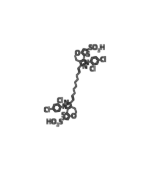 O=S(=O)(O)c1cc2c(s1)-c1c(c(/C=C/CCCCCC/C=C/c3nn(-c4ccc(Cl)cc4Cl)c4c3CCOc3cc(S(=O)(=O)O)sc3-4)nn1-c1ccc(Cl)cc1Cl)CCO2